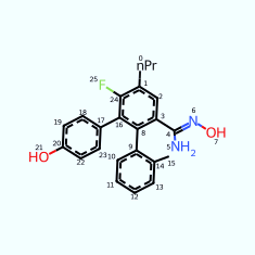 CCCc1cc(/C(N)=N/O)c(-c2ccccc2C)c(-c2ccc(O)cc2)c1F